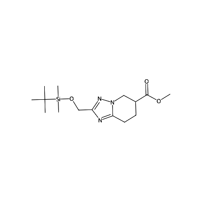 COC(=O)C1CCc2nc(CO[Si](C)(C)C(C)(C)C)nn2C1